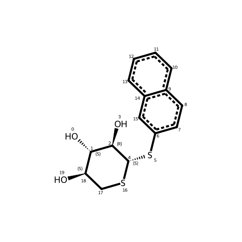 O[C@@H]1[C@@H](O)[C@H](Sc2ccc3ccccc3c2)SC[C@H]1O